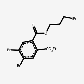 CCOC(=O)c1cc(Br)c(Br)cc1C(=O)OCCCC(C)C